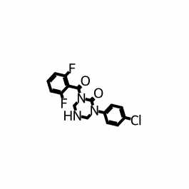 O=C(c1c(F)cccc1F)N1CNCN(c2ccc(Cl)cc2)C1=O